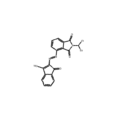 CCC(CC)N1C(=O)c2cccc(/N=N/C3=C(O)c4ccccc4C3=O)c2C1=O